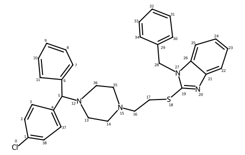 Clc1ccc(C(c2ccccc2)N2CCN(CCSc3nc4ccccc4n3Cc3ccccc3)CC2)cc1